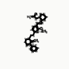 COc1nc(C=Cc2cccc(-c3ccccc3)c2C)ccc1CNC1CCCCC1CC(N)=O